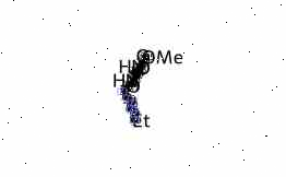 CC/C=C\C/C=C\C/C=C\C/C=C\C/C=C\C/C=C\CCC(=O)NCC1CCC(NC(=O)C=CC(=O)OC)CC1